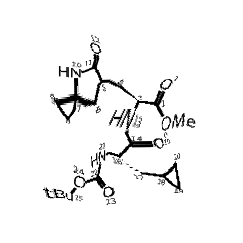 COC(=O)[C@H](CC1CC2(CC2)NC1=O)NC(=O)[C@H](CC1CC1)NC(=O)OC(C)(C)C